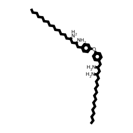 CCCCCCCCCCCCCCC(N)CC(N)Cc1ccc(Oc2ccc(CC(N)CC(N)CCCCCCCCCCCCCC)cc2)cc1